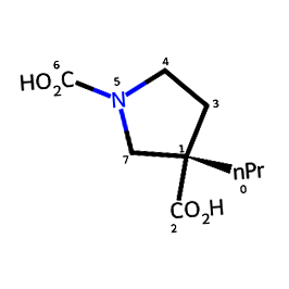 CCC[C@]1(C(=O)O)CCN(C(=O)O)C1